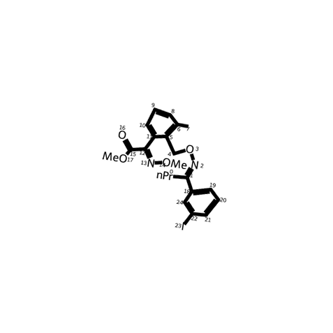 CCC/C(=N\OCc1c(C)cccc1/C(=N\OC)C(=O)OC)c1cccc(I)c1